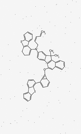 C=C/C=C\CN(C1=CCCc2sc3ccccc3c21)c1ccc2c(c1)C(C)(C)c1c-2c(OC2=C3C(c4cccc5c4sc4ccccc45)=CC=CC23)cc2ccccc12